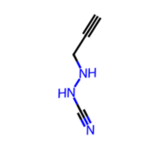 C#CCNNC#N